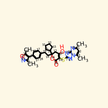 Cc1cc(C)n2nc(SC3=C(O)CC(CCc4ccc(-c5c(C)noc5C)cc4)(C4CCCC4)OC3=O)nc2n1